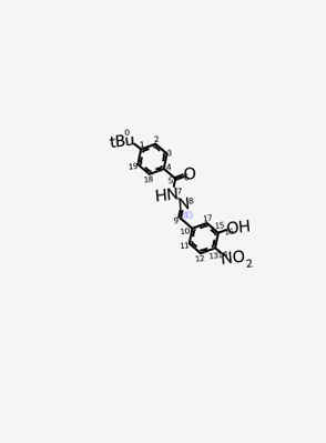 CC(C)(C)c1ccc(C(=O)N/N=C/c2ccc([N+](=O)[O-])c(O)c2)cc1